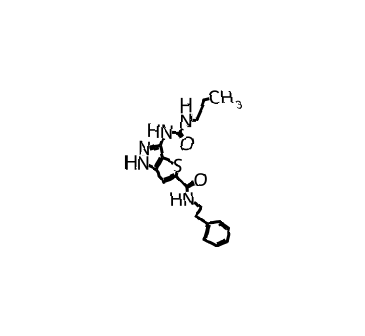 CCCNC(=O)Nc1n[nH]c2cc(C(=O)NCCc3ccccc3)sc12